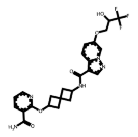 NC(=O)c1cccnc1OC1CC2(CC(NC(=O)c3cnn4cc(OCC(O)C(F)(F)F)ccc34)C2)C1